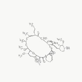 CCC[C@@H]1/C=C(\C)C[C@H](C)C[C@H](OC)C2O[C@@](O)(C(=O)C(=O)N3CCCC[C@H]3C(=O)O[C@H](/C(C)=C/[C@@H]3CC[C@@H](O)[C@H](OC)C3)[C@H](C)[C@@H](O)CC1=O)[C@H](C)C[C@@H]2OC